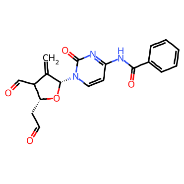 C=C1C(C=O)[C@@H](CC=O)O[C@H]1n1ccc(NC(=O)c2ccccc2)nc1=O